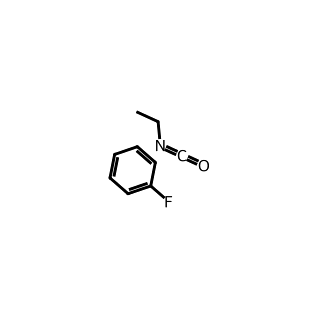 CCN=C=O.Fc1ccccc1